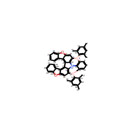 Cc1cc(C)c(B2c3cccc4c3-n3c5c2cc2oc6ccccc6c2c5c2c5c(cc(c23)B4c2c(C)cc(C)cc2C)oc2ccccc25)c(C)c1